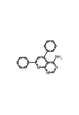 Nc1ncnc2nc(-c3ccccc3)cc(-c3ccccc3)c12